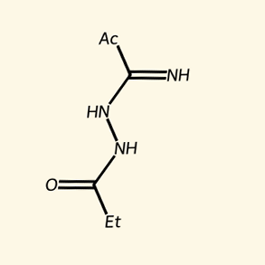 CCC(=O)NNC(=N)C(C)=O